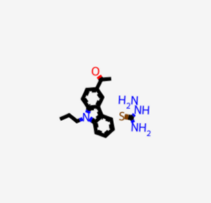 CCCn1c2ccccc2c2cc(C(C)=O)ccc21.NNC(N)=S